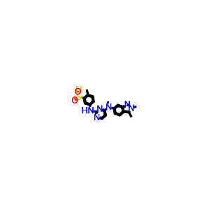 Cc1ccc(Nc2nccc(N(C)c3ccc4c(C)n(C)nc4c3)n2)cc1[SH](=O)=O